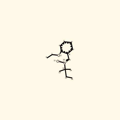 CCOc1ccccc1C=[N+]([O-])C(C)(C)CC